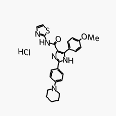 COc1ccc(-c2[nH]c(-c3ccc(N4CCCCC4)cc3)nc2C(=O)Nc2nccs2)cc1.Cl